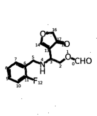 O=COCC(NCc1ccccc1F)C1=COCC1=O